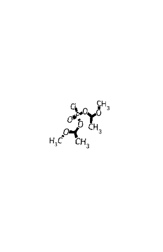 COC(C)OP(=O)(Cl)OC(C)OC